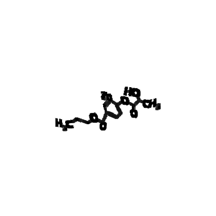 CCCOC(=O)c1ccc(OC(=O)C(C)O)cc1.[Zn]